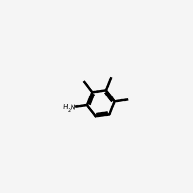 Cc1ccc(N)c(C)c1C